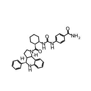 NC(=O)c1ccc(NC(=O)N[C@@H]2CCCC[C@@H]2C(=O)N2CC[C@@H]3[C@H](c4ccccc4)Nc4ccccc4[C@@H]32)cc1